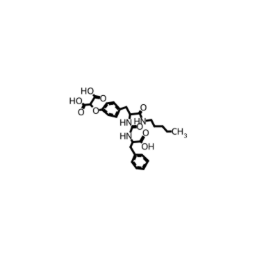 CCCCCNC(=O)C(Cc1ccc(OC(C(=O)O)C(=O)O)cc1)NC(=O)NC(Cc1ccccc1)C(=O)O